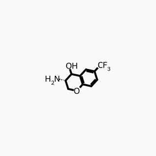 N[C@H]1COc2ccc(C(F)(F)F)cc2C1O